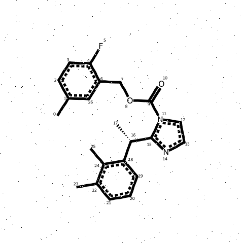 Cc1ccc(F)c(COC(=O)n2ccnc2[C@@H](C)c2cccc(C)c2C)c1